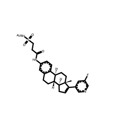 CC(=O)NS(=O)(=O)CCC(=O)Nc1ccc2c(c1)CC[C@@H]1[C@@H]2CC[C@]2(C)C(c3cncc(F)c3)=CC[C@@H]12